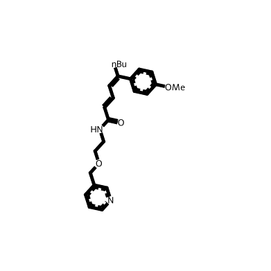 CCCCC(=CC=CC(=O)NCCOCc1cccnc1)c1ccc(OC)cc1